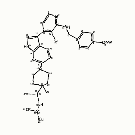 COc1ccc(CNc2nccc(-c3n[nH]c4nc(N5CCC(C)([C@@H](C)N[S@+]([O-])C(C)(C)C)CC5)cnc34)c2Cl)cc1